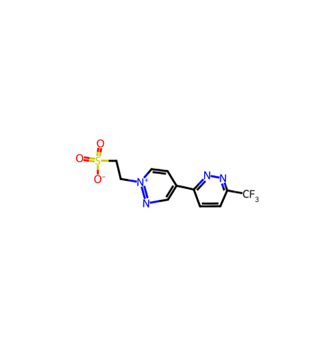 O=S(=O)([O-])CC[n+]1ccc(-c2ccc(C(F)(F)F)nn2)cn1